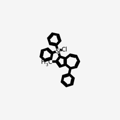 CC1=CC2=C(C=CC=CC2c2ccccc2)C1[Si](Cl)(c1ccccc1)c1ccccc1